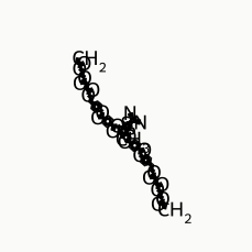 C=CC(=O)OCCOC(=O)CCC(=O)OCCc1ccc(OC(=O)[C@H]2CC[C@H](C(=O)Oc3cc(C)c(OC(=O)[C@H]4CC[C@H](C(=O)Oc5ccc(CCOC(=O)CCC(=O)OCCOC(=O)C=C)cc5)CC4)c4c3SC(=C(C#N)C#N)S4)CC2)cc1